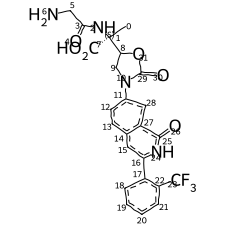 C[C@@](NC(=O)CN)(C(=O)O)C1CN(c2ccc3cc(-c4ccccc4C(F)(F)F)[nH]c(=O)c3c2)C(=O)O1